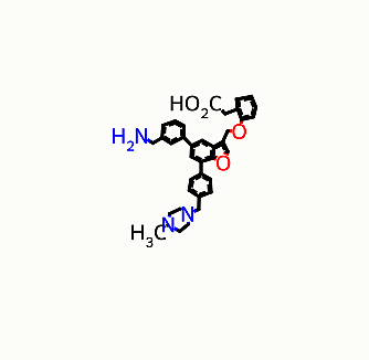 CN1CCN(Cc2ccc(-c3cc(-c4cccc(CN)c4)cc4c(COc5ccccc5CC(=O)O)coc34)cc2)CC1